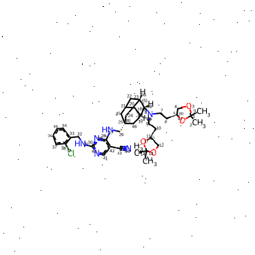 CC1(C)OC[C@H](CCN(CC[C@H]2COC(C)(C)O2)[C@@H]2[C@@H]3CC4C[C@H]2C[C@](CNc2nc(NCc5ccccc5Cl)ncc2C#N)(C4)C3)O1